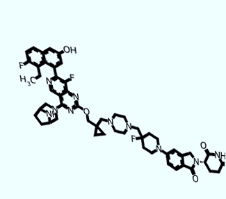 CCc1c(F)ccc2cc(O)cc(-c3ncc4c(N5CC6CCC(C5)N6)nc(OCC5(CN6CCN(CC7(F)CCN(c8ccc9c(c8)CN([C@H]8CCC(=O)NC8=O)C9=O)CC7)CC6)CC5)nc4c3F)c12